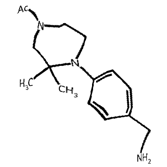 CC(=O)N1CCN(c2ccc(CN)cc2)C(C)(C)C1